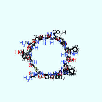 CCCC[C@H]1C(=O)N(C)[C@@H](CCCC)C(=O)N[C@@H](C)C(=O)N[C@H](C(=O)NCC(N)=O)CSCC(=O)N[C@@H](Cc2ccc(O)cc2)C(=O)N(C)[C@@H](C)C(=O)N[C@@H](CC(N)=O)C(=O)N2CCC[C@H]2C(=O)N[C@@H](CN)C(=O)N[C@@H](CCC(=O)O)C(=O)N2CCC[C@H]2C(=O)N[C@@H](Cc2c[nH]c3ccccc23)C(=O)N[C@@H](CO)C(=O)N[C@@H](Cc2c[nH]c3ccccc23)C(=O)N1C